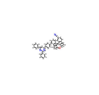 N#Cc1cccc2c1-c1ccc(-c3ccc(-c4cc(-c5ccccc5)nc(-c5ccccc5)n4)cc3)cc1C21c2ccccc2Oc2ccccc21